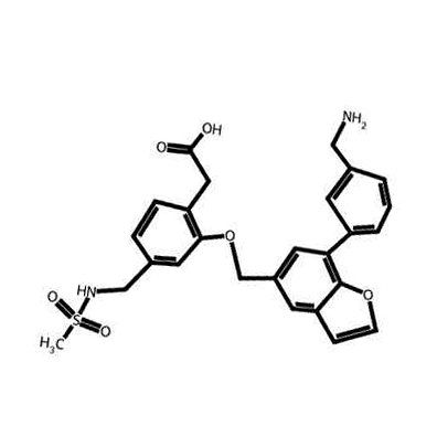 CS(=O)(=O)NCc1ccc(CC(=O)O)c(OCc2cc(-c3cccc(CN)c3)c3occc3c2)c1